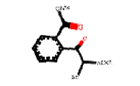 CCCCCCCCC(C(C)=O)C(=O)c1ccccc1C(=O)OC